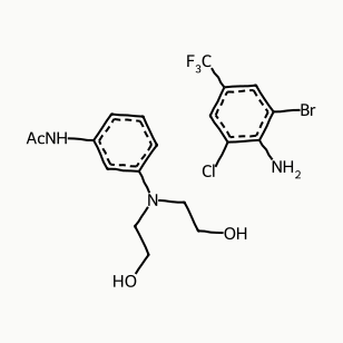 CC(=O)Nc1cccc(N(CCO)CCO)c1.Nc1c(Cl)cc(C(F)(F)F)cc1Br